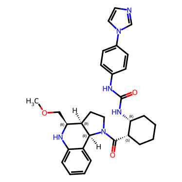 COC[C@@H]1Nc2ccccc2[C@H]2[C@@H]1CCN2C(=O)[C@H]1CCCC[C@H]1NC(=O)Nc1ccc(-n2ccnc2)cc1